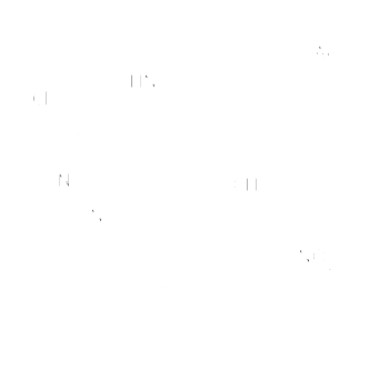 CC(=O)c1ccc2c(c1)[nH]c1c(Cl)nnc(-c3cccc([N+](=O)[O-])c3C)c12